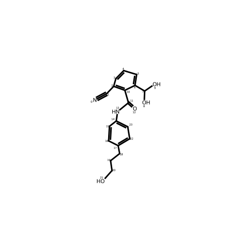 N#Cc1cccc(C(O)O)c1C(=O)Nc1ccc(CCCO)cc1